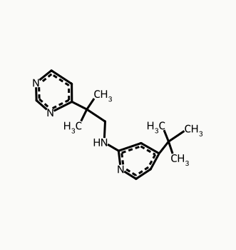 CC(C)(C)c1ccnc(NCC(C)(C)c2ccncn2)c1